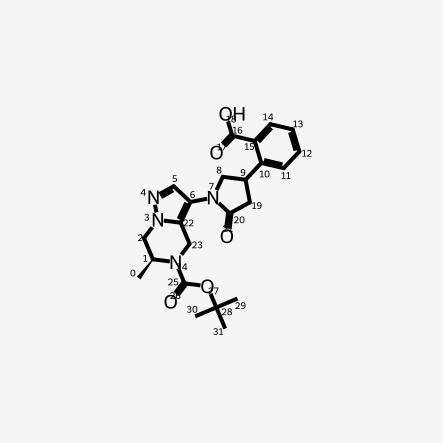 C[C@H]1Cn2ncc(N3CC(c4ccccc4C(=O)O)CC3=O)c2CN1C(=O)OC(C)(C)C